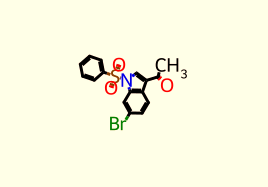 CC(=O)c1cn(S(=O)(=O)c2ccccc2)c2cc(Br)ccc12